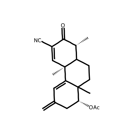 C=C1C=C2C(C)(CCC3[C@@H](C)C(=O)C(C#N)=C[C@]23C)[C@H](OC(C)=O)C1